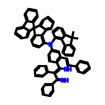 CC1(C)c2ccccc2-c2c(N(c3ccc4c(c3)C=C(c3ccccc3)N/C4=C(\C(=N)c3ccccc3)c3ccccc3)c3cccc4c3-c3ccccc3C43c4ccccc4-c4ccccc43)cccc21